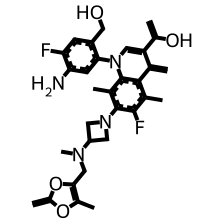 C=C1OC(C)=C(CN(C)C2CN(c3c(C)c4c(c(C)c3F)C(=C)C(C(=C)O)=CN4c3cc(N)c(F)cc3CO)C2)O1